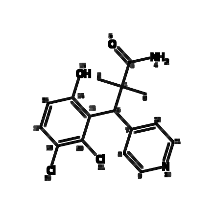 CC(C)(C(N)=O)C(c1ccncc1)c1c(O)ccc(Cl)c1Cl